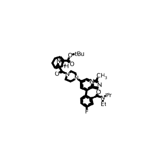 CCN(C(=O)c1cc(F)ccc1-c1cc(N2CCN(C(=O)[C@H]3C4CCC(CC4)N3C(=O)OC(C)(C)C)CC2)cn2c(C)ncc12)C(C)C